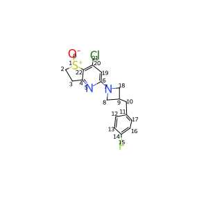 [O-][S+]1CCc2nc(N3CC(Cc4ccc(F)cc4)C3)cc(Cl)c21